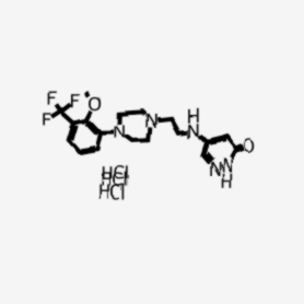 COc1c(N2CCN(CCNc3cn[nH]c(=O)c3)CC2)cccc1C(F)(F)F.Cl.Cl.Cl